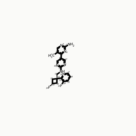 Cc1cnc(N)nc1-c1cnc(NC[C@]2(c3ncccc3F)C[C@H](F)C2)nc1